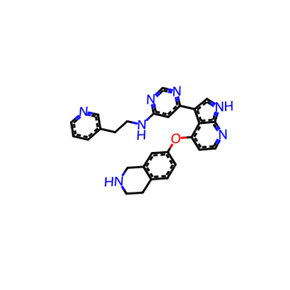 c1cncc(CCNc2cc(-c3c[nH]c4nccc(Oc5ccc6c(c5)CNCC6)c34)ncn2)c1